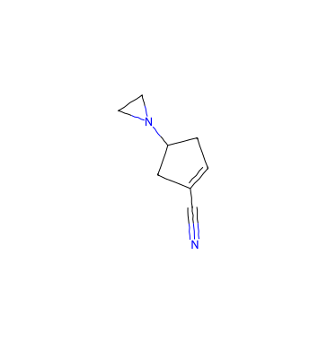 N#CC1=CCC(N2CC2)C1